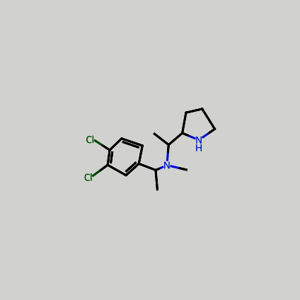 CC(c1ccc(Cl)c(Cl)c1)N(C)C(C)C1CCCN1